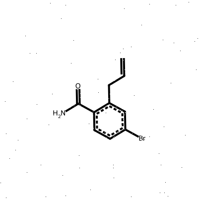 C=CCc1cc(Br)ccc1C(N)=O